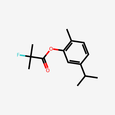 Cc1ccc(C(C)C)cc1OC(=O)C(C)(C)F